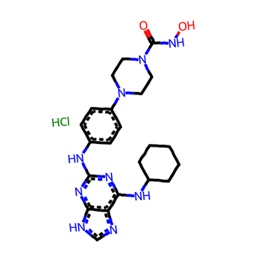 Cl.O=C(NO)N1CCN(c2ccc(Nc3nc(NC4CCCCC4)c4nc[nH]c4n3)cc2)CC1